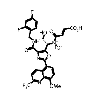 COc1ccc(-c2nc(C(=O)NCc3ccc(F)cc3F)c([C@H](CO)[NH+]([O-])C(=O)/C=C/C(=O)O)o2)c2ccc(C(F)(F)F)nc12